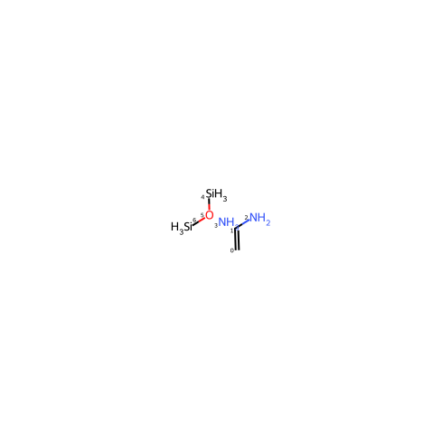 C=CN.N.[SiH3]O[SiH3]